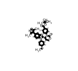 CO[C@H]1CC[C@H](n2c([C@@H]3CCOC(=O)N3C3=CCC(C(=O)OC(C)(C)C)CC3)nc3cc(-c4c(C)noc4C)ccc32)CC1